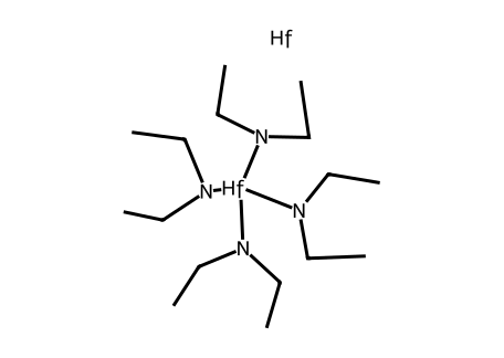 CC[N](CC)[Hf]([N](CC)CC)([N](CC)CC)[N](CC)CC.[Hf]